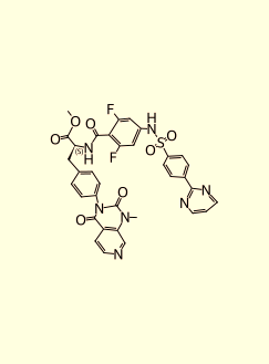 COC(=O)[C@H](Cc1ccc(-n2c(=O)c3ccncc3n(C)c2=O)cc1)NC(=O)c1c(F)cc(NS(=O)(=O)c2ccc(-c3ncccn3)cc2)cc1F